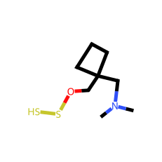 CN(C)CC1(COSS)CCC1